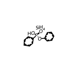 O=P(O)(Oc1ccccc1)c1ccccc1.[SiH4]